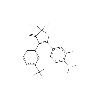 C[S+]([O-])c1ccc(C2=C(c3cccc(C(F)(F)F)c3)C(=O)C(C)(C)O2)cc1Cl